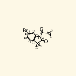 O=C(C1CC1)N1C(=O)C2(CC2)c2ccc(Br)cc21